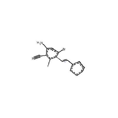 N#Cc1c(N)cc(Br)c(/C=C/c2ccccc2)c1F